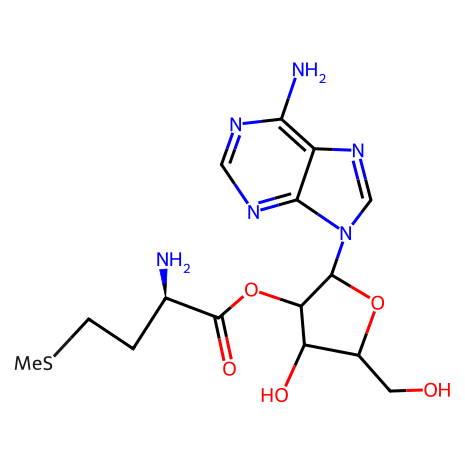 CSCC[C@@H](N)C(=O)OC1C(O)C(CO)OC1n1cnc2c(N)ncnc21